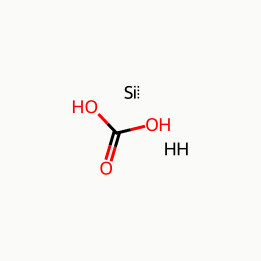 O=C(O)O.[HH].[Si]